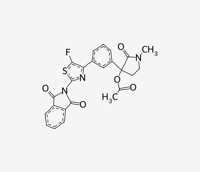 CC(=O)OC1(c2cccc(-c3nc(N4C(=O)c5ccccc5C4=O)sc3F)c2)CCN(C)C1=O